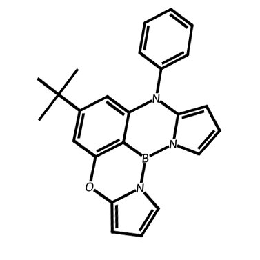 CC(C)(C)c1cc2c3c(c1)N(c1ccccc1)c1cccn1B3n1cccc1O2